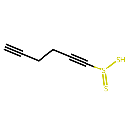 C#CCCC#CS(=S)S